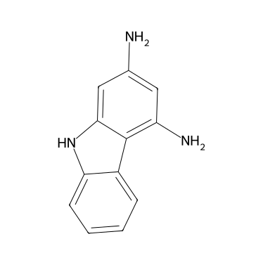 Nc1cc(N)c2c(c1)[nH]c1ccccc12